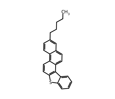 CCCCCc1ccc2c(ccc3c2ccc2sc4ccccc4c23)c1